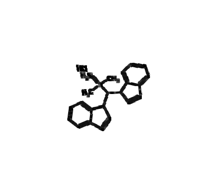 Cl.[CH3][Ti]([CH3])(=[SiH2])[CH](C1C=Cc2ccccc21)C1C=Cc2ccccc21